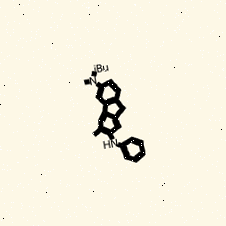 CCC(C)N(C)c1ccc2c(c1)-c1cc(C)c(Nc3ccccc3)cc1C2